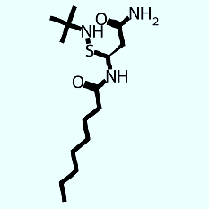 CCCCCCCC(=O)N[C@H](CC(N)=O)SNC(C)(C)C